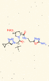 CC(C)(C)[C@@H](C(=O)N1C[C@H](O)C[C@H]1C(=O)NCCc1nnc(N)o1)n1cc(C2CC2)nn1